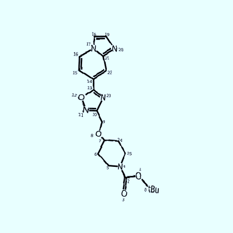 CC(C)(C)OC(=O)N1CCC(OCc2noc(-c3ccn4ccnc4c3)n2)CC1